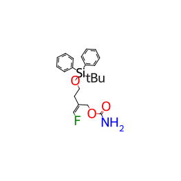 CC(C)(C)[Si](OCCC(=CF)COC(N)=O)(c1ccccc1)c1ccccc1